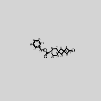 O=C1CC2(C1)CC1(CCN(C(=O)OCc3ccccc3)CC1)C2